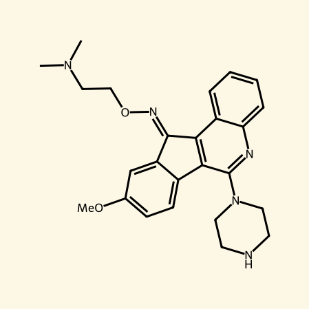 COc1ccc2c(c1)C(=NOCCN(C)C)c1c-2c(N2CCNCC2)nc2ccccc12